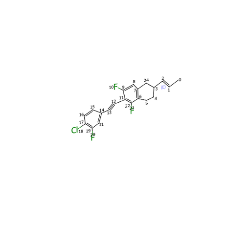 C/C=C/C1CCc2c(cc(F)c(C#Cc3ccc(Cl)c(F)c3)c2F)C1